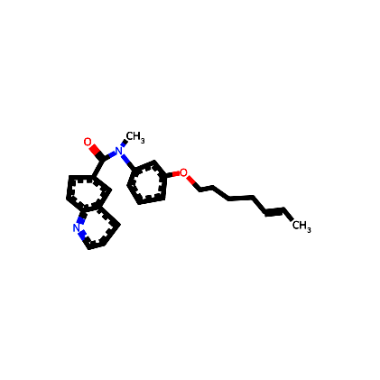 CC=CCCCCOc1cccc(N(C)C(=O)c2ccc3ncccc3c2)c1